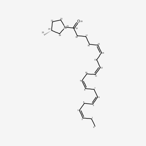 CC/C=C\C/C=C\C/C=C\C/C=C\C/C=C\CCCC(=O)N1CC[C@@H](C)C1